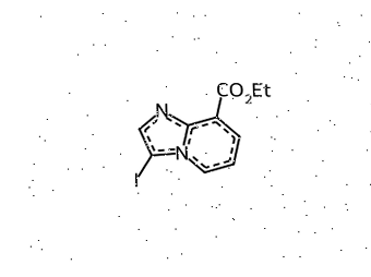 CCOC(=O)c1cccn2c(I)cnc12